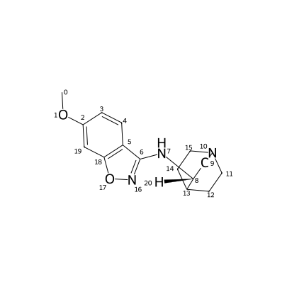 COc1ccc2c(N[C@@H]3CN4CCC3CC4)noc2c1